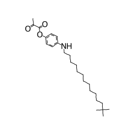 CC(=O)C(=O)Oc1ccc(NCCCCCCCCCCCCC(C)(C)C)cc1